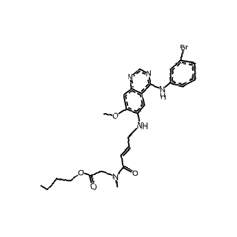 CCCCOC(=O)CN(C)C(=O)C=CCNc1cc2c(Nc3cccc(Br)c3)ncnc2cc1OC